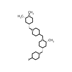 C[C@@H]1C[C@H](CN2CCC(I)CC2)CCN1CC1CCN(C[C@H]2CCN(C)[C@@H](C)C2)CC1